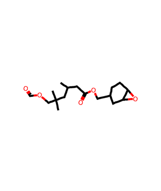 CC(CC(=O)OCC1CCC2OC2C1)CC(C)(C)COC=O